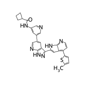 Cc1ccc(-c2ccnc3[nH]c(-c4n[nH]c5ncc(-c6cncc(NC(=O)C7CCC7)c6)cc45)cc23)s1